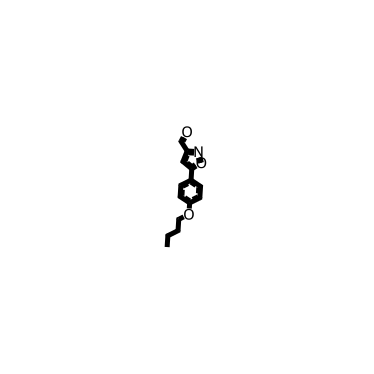 CCCCOc1ccc(-c2cc(C=O)no2)cc1